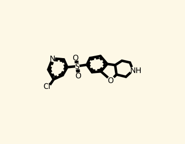 O=S(=O)(c1cncc(Cl)c1)c1ccc2c(c1)OC1CNCCC21